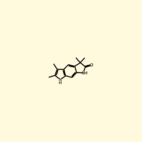 Cc1[nH]c2cc3c(cc2c1C)C(C)(C)C(=O)N3